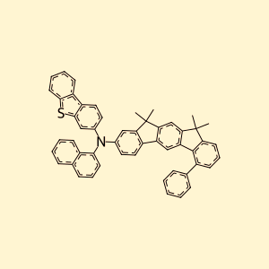 CC1(C)c2cc(N(c3ccc4c(c3)sc3ccccc34)c3cccc4ccccc34)ccc2-c2cc3c(cc21)C(C)(C)c1cccc(-c2ccccc2)c1-3